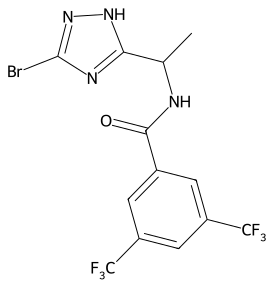 CC(NC(=O)c1cc(C(F)(F)F)cc(C(F)(F)F)c1)c1nc(Br)n[nH]1